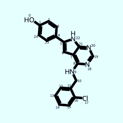 Oc1ccc(-c2cc3c(NCc4ccccc4Cl)ncnc3[nH]2)cc1